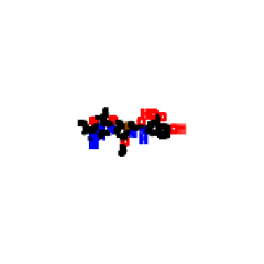 CCCO[C@H](C[C@H](C(C)C)N(CCC)C(=O)[C@@H](NC(=O)[C@@H](NC)[C@@H](C)CC)[C@@H](C)CC)c1nc(C(=O)N[C@H]2Cc3ccc(O)cc3[C@H](C(=O)O)C2)cs1